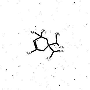 CC1=CC(C)(C)CC(C(C)C)(C(C)C)C1